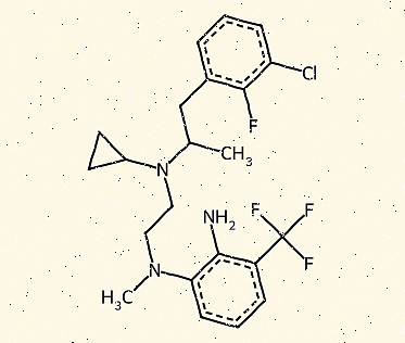 CC(Cc1cccc(Cl)c1F)N(CCN(C)c1cccc(C(F)(F)F)c1N)C1CC1